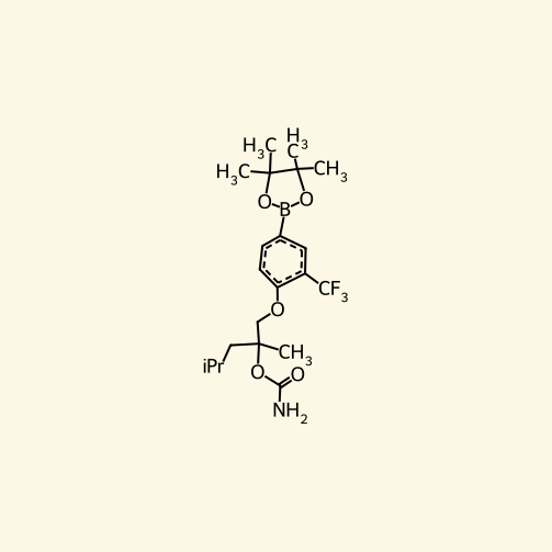 CC(C)CC(C)(COc1ccc(B2OC(C)(C)C(C)(C)O2)cc1C(F)(F)F)OC(N)=O